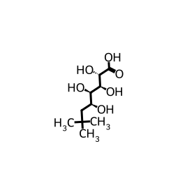 CC(C)(C)C[C@H](O)[C@@H](O)[C@H](O)[C@H](O)C(=O)O